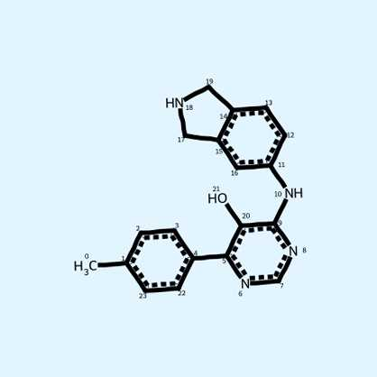 Cc1ccc(-c2ncnc(Nc3ccc4c(c3)CNC4)c2O)cc1